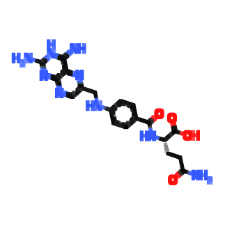 N=c1[nH]c(N)nc2ncc(CNc3ccc(C(=O)N[C@@H](CCC(N)=O)C(=O)O)cc3)nc12